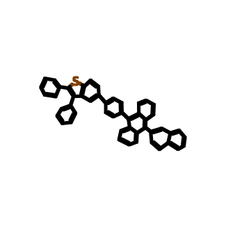 c1ccc(-c2sc3ccc(-c4ccc(-c5c6ccccc6c(-c6ccc7ccccc7c6)c6ccccc56)cc4)cc3c2-c2ccccc2)cc1